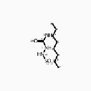 CCCCCCCC.NC(=O)NNS(=O)(=O)O